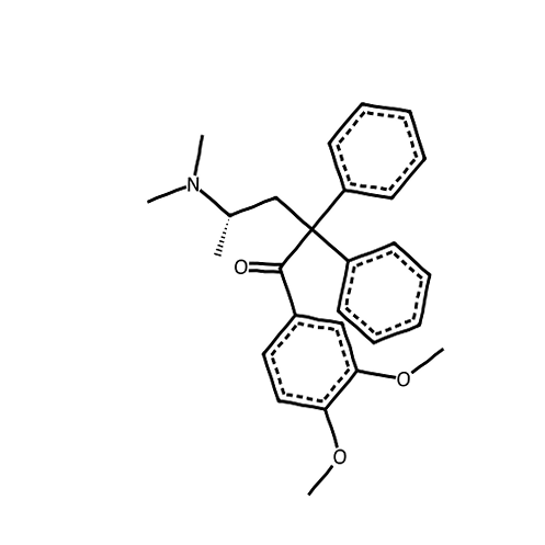 COc1ccc(C(=O)C(C[C@H](C)N(C)C)(c2ccccc2)c2ccccc2)cc1OC